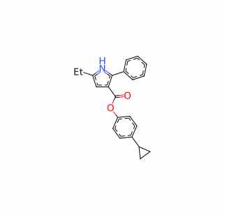 CCc1cc(C(=O)Oc2ccc(C3CC3)cc2)c(-c2ccccc2)[nH]1